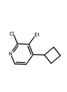 CCc1c(C2CCC2)ccnc1Cl